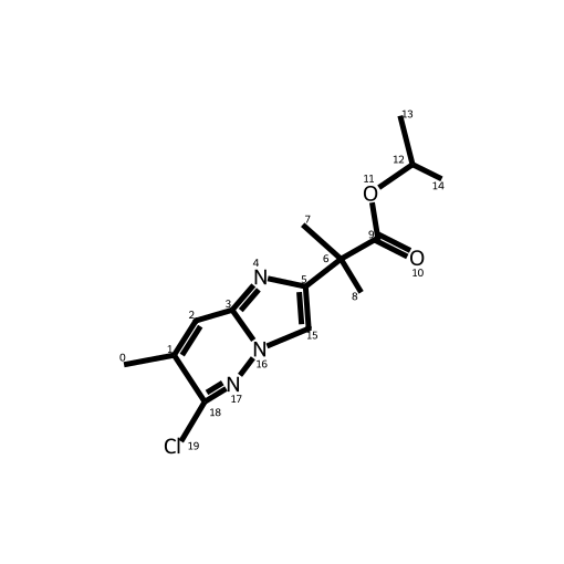 Cc1cc2nc(C(C)(C)C(=O)OC(C)C)cn2nc1Cl